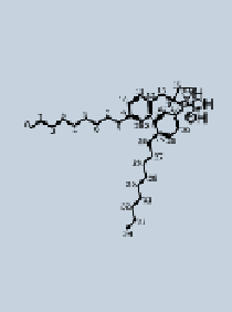 CCCCCCCCCc1ccc(CC(C)(CC)P(O)(O)(O)c2ccc(CCCCCCCCC)cc2)cc1